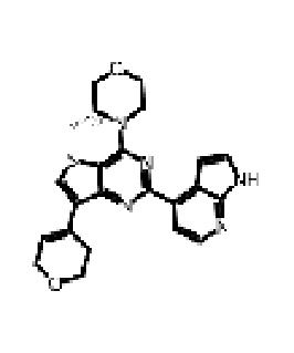 C[C@@H]1COCCN1c1nc(-c2ccnc3[nH]ccc23)nc2c(C3=CCOCC3)csc12